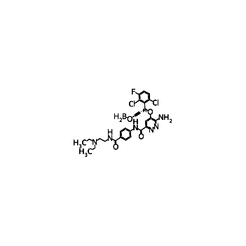 BOC#C[C@@H](Oc1cc(C(=O)Nc2ccc(C(=O)NCCN(CC)CC)cc2)nnc1N)c1c(Cl)ccc(F)c1Cl